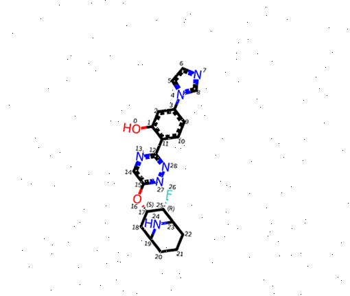 Oc1cc(-n2ccnc2)ccc1-c1ncc(O[C@H]2CC3CCCC(N3)[C@H]2F)nn1